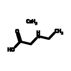 CCNCC(=O)O.[CaH2]